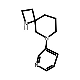 c1cncc(N2CCCC3(CCN3)C2)c1